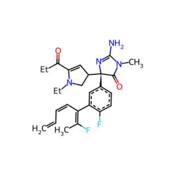 C=C/C=C\C(=C(/C)F)c1cc([C@@]2(C3C=C(C(=O)CC)N(CC)C3)N=C(N)N(C)C2=O)ccc1F